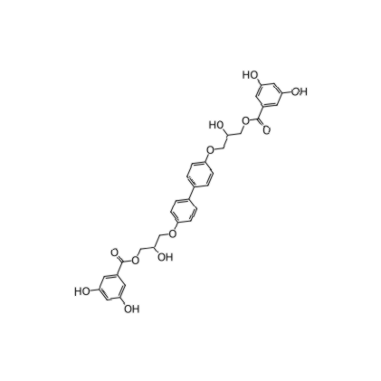 O=C(OCC(O)COc1ccc(-c2ccc(OCC(O)COC(=O)c3cc(O)cc(O)c3)cc2)cc1)c1cc(O)cc(O)c1